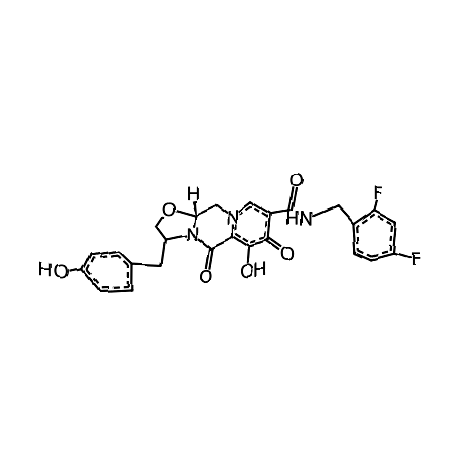 O=C(NCc1ccc(F)cc1F)c1cn2c(c(O)c1=O)C(=O)N1C(Cc3ccc(O)cc3)CO[C@@H]1C2